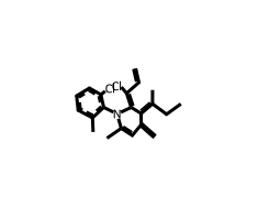 C=C/C(Cl)=C1\C(=C(/C)CC)C(=C)C=C(C)N1c1c(C)cccc1Cl